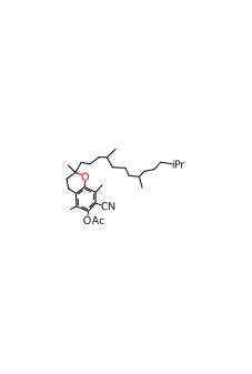 CC(=O)Oc1c(C)c2c(c(C)c1C#N)OC(C)(CCCC(C)CCCC(C)CCCC(C)C)CC2